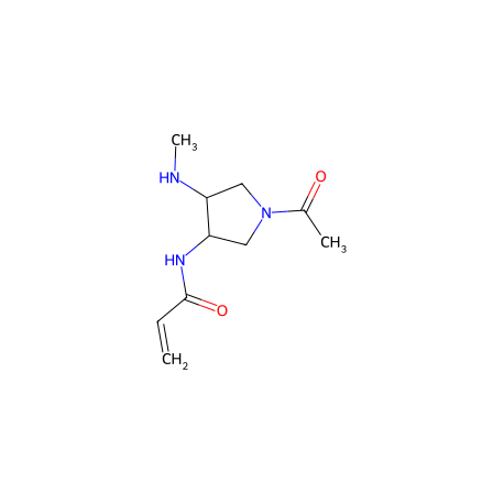 C=CC(=O)NC1CN(C(C)=O)CC1NC